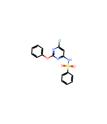 O=S(=O)(Nc1cc(Cl)nc(Oc2ccccc2)n1)c1ccccc1